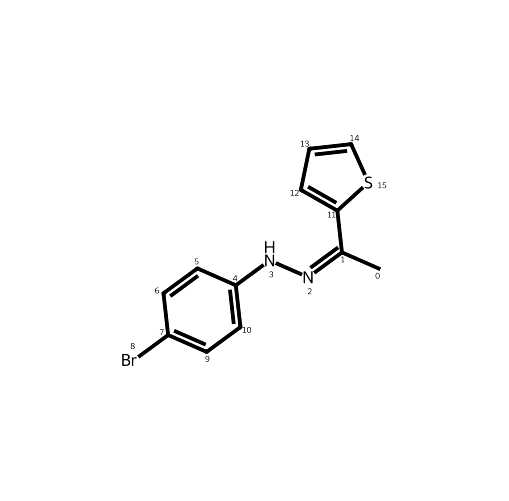 C/C(=N/Nc1ccc(Br)cc1)c1cccs1